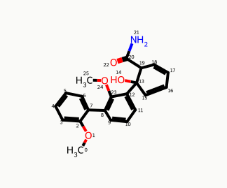 COc1ccccc1-c1cccc(C2(O)C=CC=CC2C(N)=O)c1OC